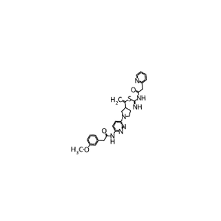 C=C(SC(=N)NC(=O)Cc1ccccn1)C1CCN(c2ccc(NC(=O)Cc3cccc(OC)c3)nn2)C1